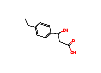 CCc1ccc(C(O)CC(=O)O)cc1